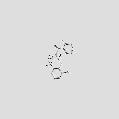 Cc1ccccc1C(=O)N1CC[C@@]2(C)c3cccc(O)c3C[C@@H]1C2(C)C